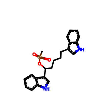 CS(=O)(=O)OC(CCCCc1c[nH]c2ccccc12)c1c[nH]c2ccccc12